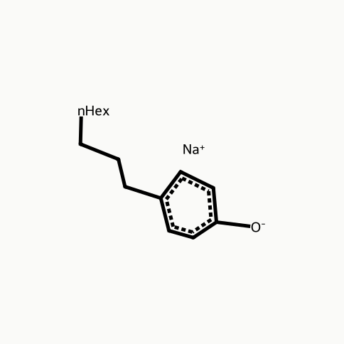 CCCCCCCCCc1ccc([O-])cc1.[Na+]